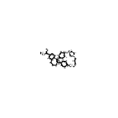 O=C(OF)c1ccc2c(c1)CCCC(c1ccc(Cl)cc1)=C2c1ccc(O[C@H]2CCN(CCCF)C2)cc1